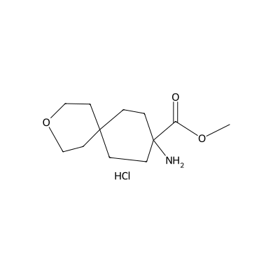 COC(=O)C1(N)CCC2(CCOCC2)CC1.Cl